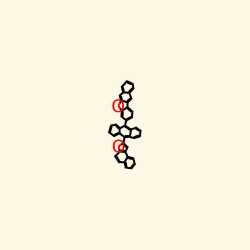 c1ccc2cc3c(cc2c1)oc1cc(-c2c4ccccc4c(-c4cc5c(ccc6ccccc65)o4)c4ccccc24)ccc13